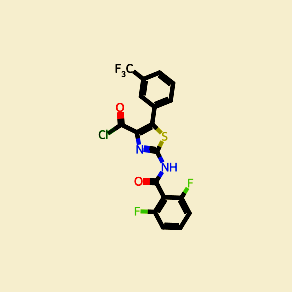 O=C(Cl)c1nc(NC(=O)c2c(F)cccc2F)sc1-c1cccc(C(F)(F)F)c1